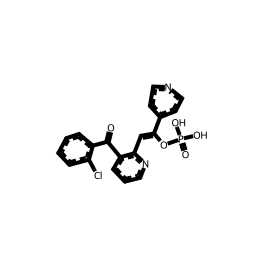 O=C(c1ccccc1Cl)c1cccnc1C=C(OP(=O)(O)O)c1ccncc1